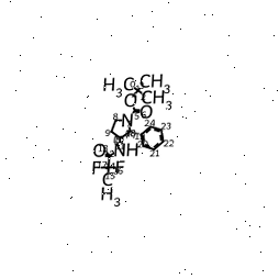 CC(C)(C)OC(=O)N1CC[C@H](NC(=O)C(C)(F)F)[C@H]1c1ccccc1